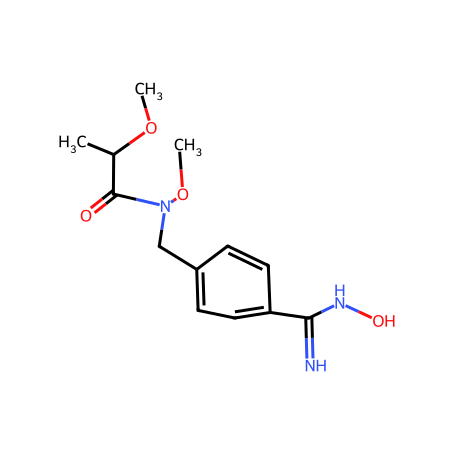 COC(C)C(=O)N(Cc1ccc(C(=N)NO)cc1)OC